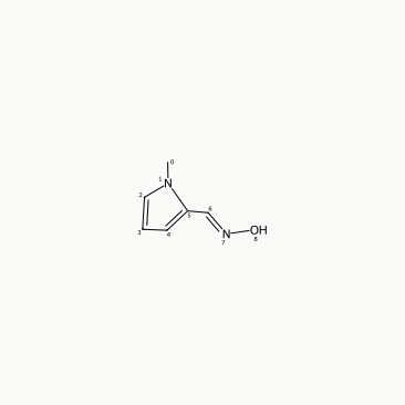 Cn1cccc1C=NO